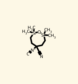 [C-]#[N+]C1(C#N)CC[Si](C)(C)O[Si](C)(C)CC1